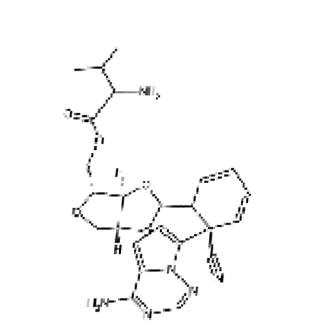 CC(C)C(N)C(=O)OC[C@H]1OC[C@H]2OC(C3C=CC=C[C@]3(C#N)c3ccc4c(N)ncnn34)O[C@H]12